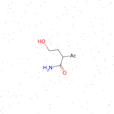 CC(=O)C(CCO)C(N)=O